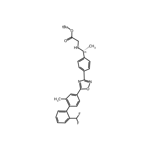 Cc1cc(-c2nc(-c3ccc([C@@H](C)NCC(=O)OC(C)(C)C)cc3)no2)ccc1-c1ccccc1C(F)F